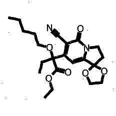 CCCCCOC(CC)(C(=O)OCC)c1cc2n(c(=O)c1C#N)CCC21OCCO1